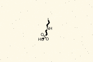 O=S(=O)(O)CCNCCI